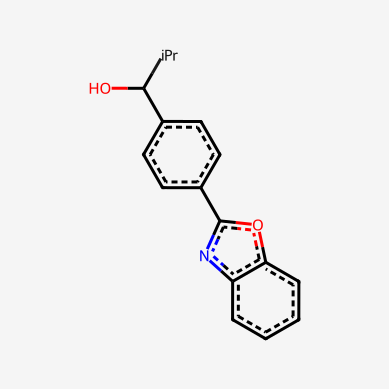 CC(C)C(O)c1ccc(-c2nc3ccccc3o2)cc1